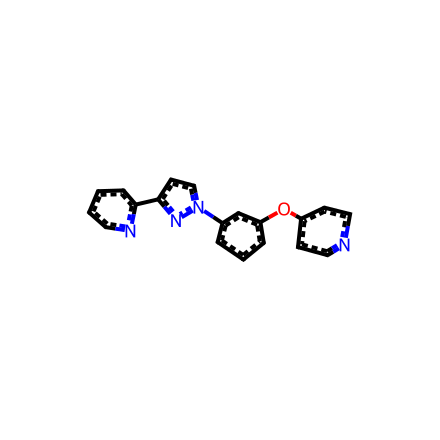 c1ccc(-c2ccn(-c3cccc(Oc4ccncc4)c3)n2)nc1